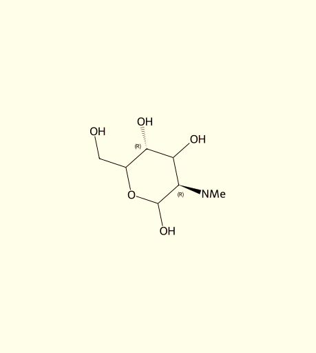 CN[C@H]1C(O)OC(CO)[C@H](O)C1O